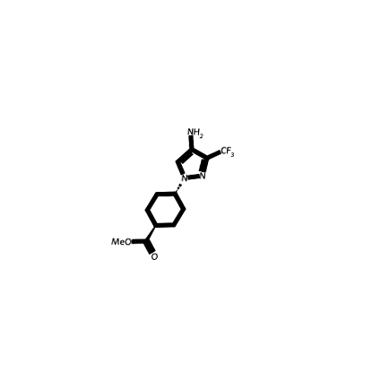 COC(=O)[C@H]1CC[C@H](n2cc(N)c(C(F)(F)F)n2)CC1